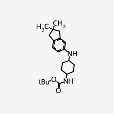 CC1(C)Cc2ccc(NC3CCC(NC(=O)OC(C)(C)C)CC3)cc2C1